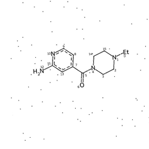 CCN1CCN(C(=O)c2ccnc(N)c2)CC1